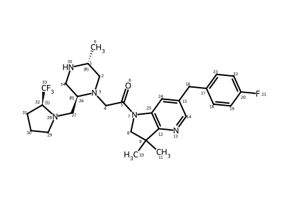 C[C@@H]1CN(CC(=O)N2CC(C)(C)c3ncc(Cc4ccc(F)cc4)cc32)[C@@H](CN2CCC[C@H]2C(F)(F)F)CN1